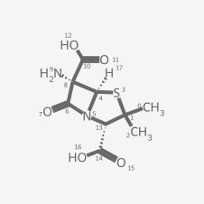 CC1(C)S[C@H]2N(C(=O)[C@@]2(N)C(=O)O)[C@H]1C(=O)O